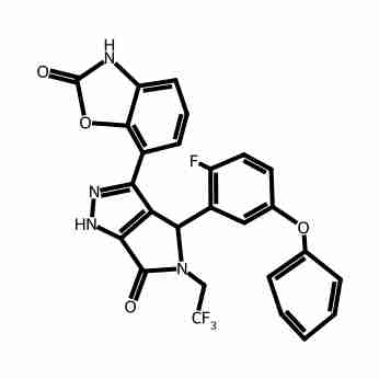 O=C1c2[nH]nc(-c3cccc4[nH]c(=O)oc34)c2C(c2cc(Oc3ccccc3)ccc2F)N1CC(F)(F)F